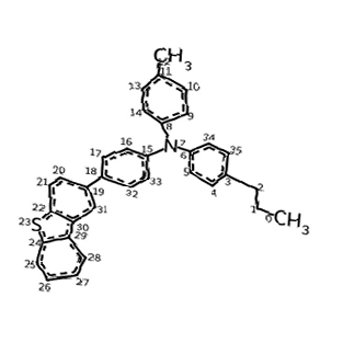 CCCc1ccc(N(c2ccc(C)cc2)c2ccc(-c3ccc4sc5ccccc5c4c3)cc2)cc1